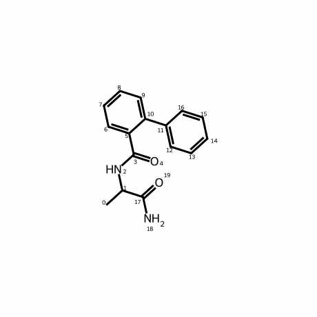 CC(NC(=O)c1ccccc1-c1ccccc1)C(N)=O